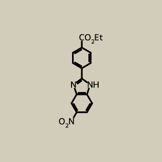 CCOC(=O)c1ccc(-c2nc3cc([N+](=O)[O-])ccc3[nH]2)cc1